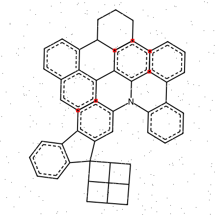 c1ccc(-c2ccccc2N(c2ccc3c(c2)C2(c4ccccc4-3)C3CC4CC5CC2C453)c2ccccc2-c2cccc3cccc(C4CCCCC4)c23)cc1